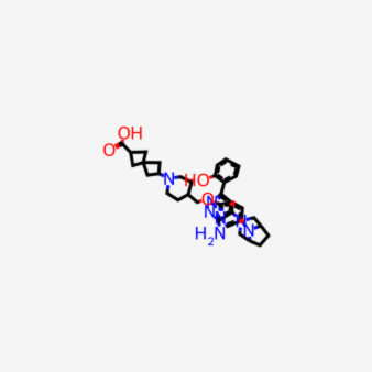 Nc1nnc(-c2ccccc2O)cc1N1CC2CCC(C1)N2c1ccc(OCC2CCN(C3CC4(CC(C(=O)O)C4)C3)CC2)nc1